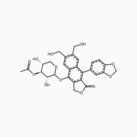 CC(=O)O[C@H]1[C@H](O)COC(Oc2c3c(c(-c4ccc5c(c4)OCO5)c4cc(CO)c(CO)cc24)C(=O)OC3)[C@@H]1O